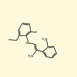 CCc1cccc(F)c1N/C=C(\N)c1ccccc1N